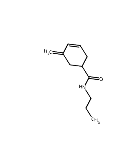 C=C1C=CCC(C(=O)NCCC)C1